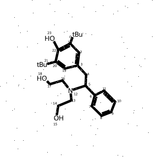 CC(C)(C)c1cc(CC(c2ccccc2)N(CCO)CCO)cc(C(C)(C)C)c1O